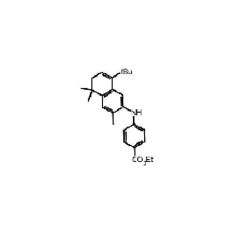 CCOC(=O)c1ccc(Nc2cc3c(cc2C)C(C)(C)CC=C3C(C)(C)C)cc1